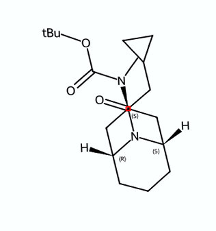 CN(C(=O)OC(C)(C)C)[C@@H]1C[C@H]2CCC[C@@H](C1)N2C(=O)CC1CC1